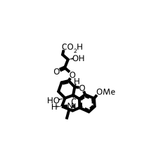 COc1ccc2c3c1O[C@@H]1C(OC(=O)[C@@H](O)CC(=O)O)=CC[C@]4(O)[C@H](C2)N(C)CC[C@@]314